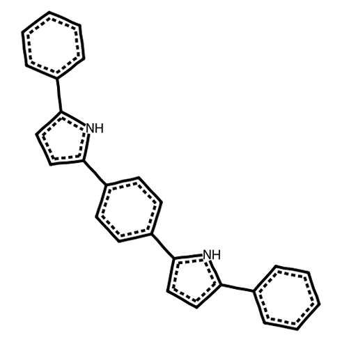 c1ccc(-c2ccc(-c3ccc(-c4ccc(-c5ccccc5)[nH]4)cc3)[nH]2)cc1